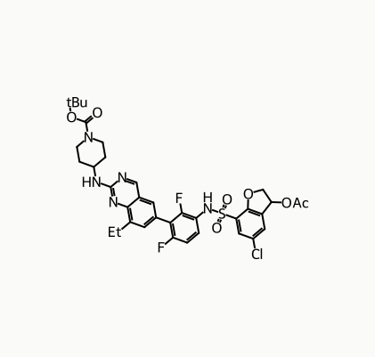 CCc1cc(-c2c(F)ccc(NS(=O)(=O)c3cc(Cl)cc4c3OCC4OC(C)=O)c2F)cc2cnc(NC3CCN(C(=O)OC(C)(C)C)CC3)nc12